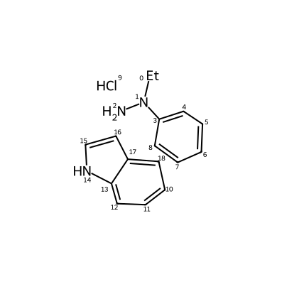 CCN(N)c1ccccc1.Cl.c1ccc2[nH]ccc2c1